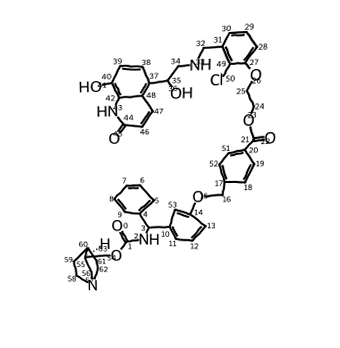 O=C(NC(c1ccccc1)c1cccc(OCc2ccc(C(=O)OCCOc3cccc(CNCC(O)c4ccc(O)c5[nH]c(=O)ccc45)c3Cl)cc2)c1)O[C@H]1CN2CCC1CC2